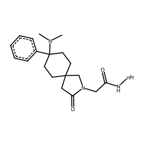 CCCNC(=O)CN1CC2(CCC(c3ccccc3)(N(C)C)CC2)CC1=O